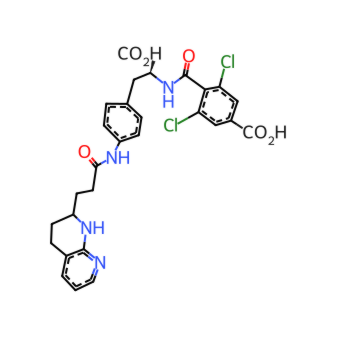 O=C(CCC1CCc2cccnc2N1)Nc1ccc(C[C@H](NC(=O)c2c(Cl)cc(C(=O)O)cc2Cl)C(=O)O)cc1